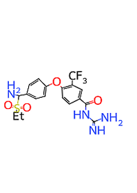 CCS(=O)(=O)C(N)c1ccc(Oc2ccc(C(=O)NC(=N)N)cc2C(F)(F)F)cc1